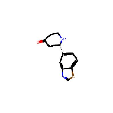 O=C1CCN[C@H](c2ccc3scnc3c2)C1